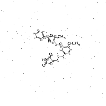 COc1ccc(CCCC2OC(=O)NC2=O)cc1OCc1nc(-c2ccccc2)oc1C